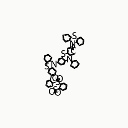 O=S1(=O)c2ccccc2S(=O)(=O)c2c(-c3ccc4c(c3)Sc3ccccc3N4c3ccc4c(c3)Sc3cc(N5c6ccccc6Sc6ccccc65)ccc3N4c3ccccc3)cccc21